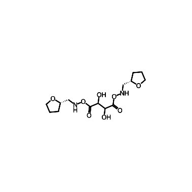 O=C(ONC[C@@H]1CCCO1)C(O)C(O)C(=O)ONC[C@@H]1CCCO1